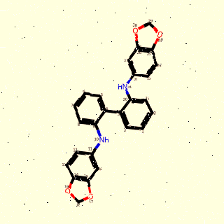 c1ccc(-c2ccccc2Nc2ccc3c(c2)OCO3)c(Nc2ccc3c(c2)OCO3)c1